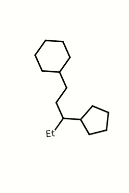 [CH2]CC(CCC1CCCCC1)C1CCCC1